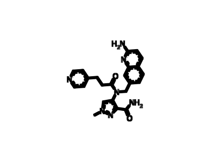 Cn1cc(N(Cc2ccc3ccc(N)nc3c2)C(=O)CCc2ccncc2)c(C(N)=O)n1